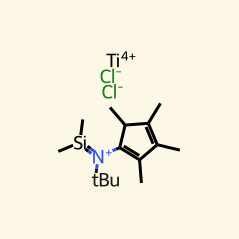 CC1=C(C)C(C)C([N+](=[Si](C)C)C(C)(C)C)=C1C.[Cl-].[Cl-].[Ti+4]